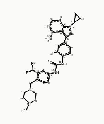 CCCN1CCN(Cc2ccc(NC(=O)Nc3ccc(-c4cn(C5CC5)c5ncnc(N)c45)cc3F)cc2C(F)F)CC1